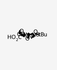 CC(C)(C)OC(=O)N1CCN2C(=O)N([C@H]3C[C@H](C(=O)O)N(S(C)(=O)=O)C3)CC2C1